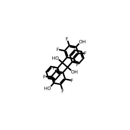 Oc1c(F)c(F)c(C(O)(c2ccccc2)C(O)(c2ccccc2)c2c(F)c(F)c(O)c(F)c2F)c(F)c1F